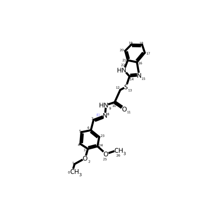 CCOc1ccc(/C=N/NC(=O)CSc2nc3ccccc3[nH]2)cc1OC